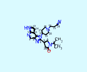 CC(C)N1CC(c2nc3cnc4[nH]ccc4c3n2C2CCN(CCC#N)CC2)CC1=O